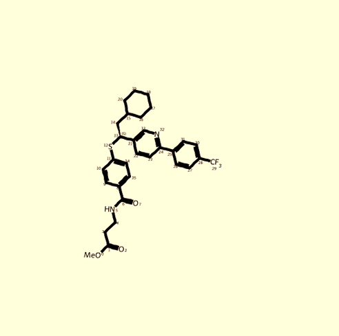 COC(=O)CCNC(=O)c1ccc(S[C@@H](CC2CCCCC2)c2ccc(-c3ccc(C(F)(F)F)cc3)nc2)cc1